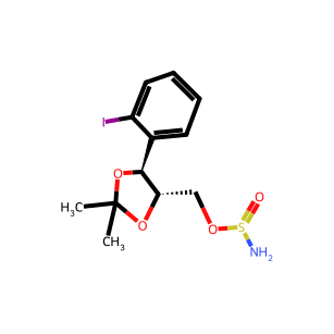 CC1(C)O[C@@H](COS(N)=O)[C@H](c2ccccc2I)O1